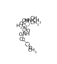 COc1ccc(-c2coc(C(=O)N[C@H]3CCN(C4CCC(NC(C)(C)C)CC4(C)C(=O)O)C3=O)c2)cc1